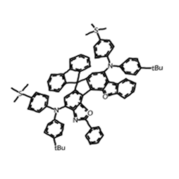 CC(C)(C)c1ccc(N(c2ccc(S(C)(C)C)cc2)c2cc3c(c4oc(-c5ccccc5)nc24)-c2c(cc(N(c4ccc(C(C)(C)C)cc4)c4ccc(S(C)(C)C)cc4)c4c2oc2ccccc24)C32c3ccccc3-c3ccccc32)cc1